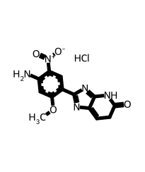 COc1cc(N)c([N+](=O)[O-])cc1C1=NC2=CCC(=O)NC2=N1.Cl